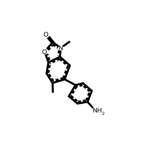 Cc1cc2oc(=O)n(C)c2cc1-c1ccc(N)cc1